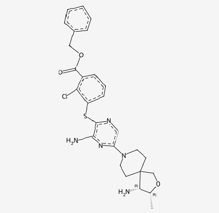 C[C@H]1OCC2(CCN(c3cnc(Sc4cccc(C(=O)OCc5ccccc5)c4Cl)c(N)n3)CC2)[C@H]1N